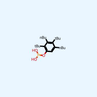 CCCCc1cc(OP(O)O)c(C(C)(C)C)c(CCCC)c1C(C)(C)C